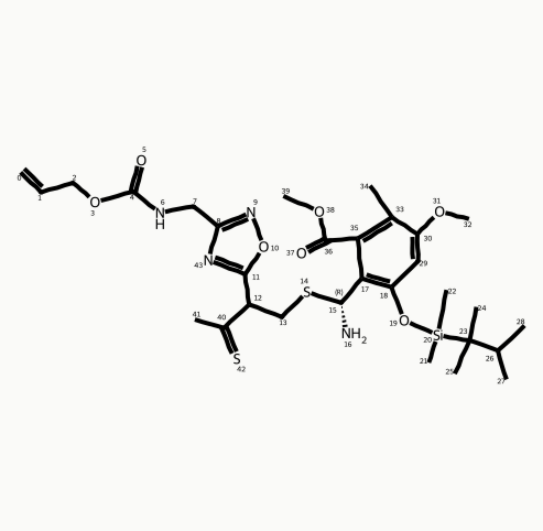 C=CCOC(=O)NCc1noc(C(CS[C@@H](N)c2c(O[Si](C)(C)C(C)(C)C(C)C)cc(OC)c(C)c2C(=O)OC)C(C)=S)n1